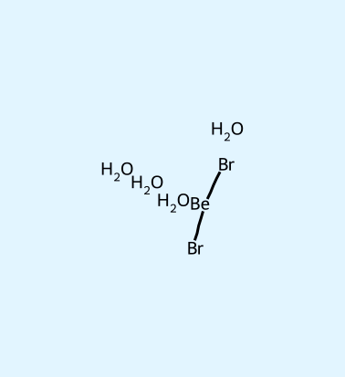 O.O.O.O.[Br][Be][Br]